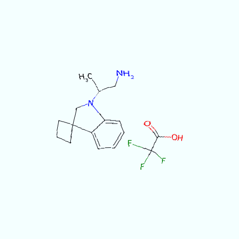 CC(CN)N1CC2(CCC2)c2ccccc21.O=C(O)C(F)(F)F